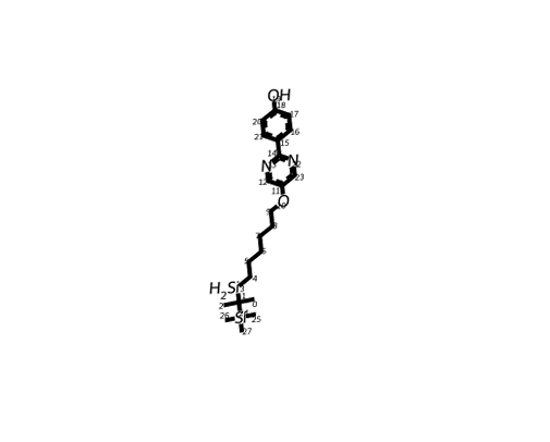 CC(C)([SiH2]CCCCCCOc1cnc(-c2ccc(O)cc2)nc1)[Si](C)(C)C